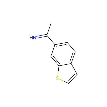 CC(=N)c1ccc2ccsc2c1